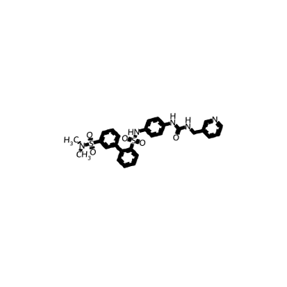 CN(C)S(=O)(=O)c1cccc(-c2ccccc2S(=O)(=O)Nc2ccc(NC(=O)NCc3cccnc3)cc2)c1